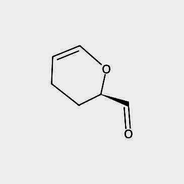 O=C[C@H]1CCC=CO1